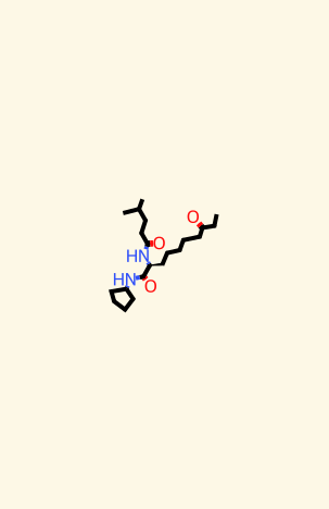 CCC(=O)CCCCC[C@H](NC(=O)CCC(C)C)C(=O)NC1CCCC1